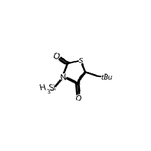 CC(C)(C)C1SC(=O)N([SiH3])C1=O